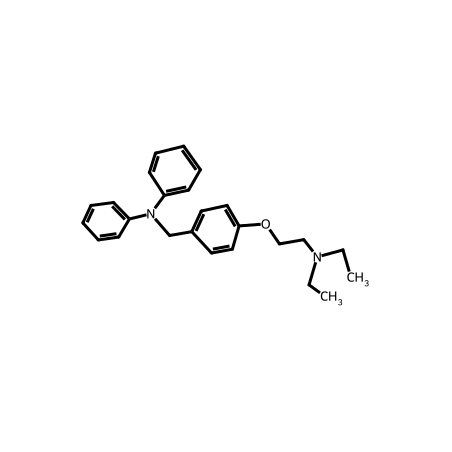 CCN(CC)CCOc1ccc(CN(c2ccccc2)c2ccccc2)cc1